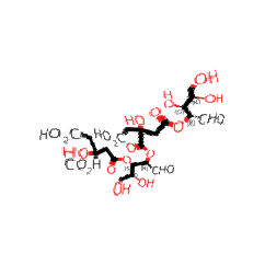 O=C[C@H](OC(=O)CC(O)(CC(=O)O)C(=O)O[C@@H](C=O)[C@@H](OC(=O)CC(O)(CC(=O)O)C(=O)O)[C@H](O)CO)[C@@H](O)[C@H](O)CO